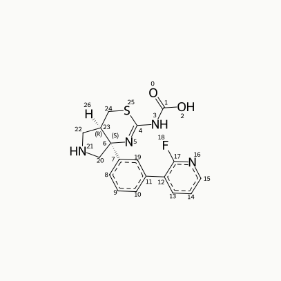 O=C(O)NC1=N[C@@]2(c3cccc(-c4cccnc4F)c3)CNC[C@H]2CS1